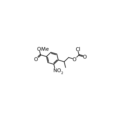 COC(=O)c1ccc(C(C)COC(=O)Cl)c([N+](=O)[O-])c1